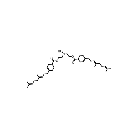 CC(C)=CCC/C(C)=C/CCC1=CCC(C(=O)OCCN(CCOC(=O)C2CC=C(CC/C=C(\C)CCC=C(C)C)CC2)C(C)(C)C)CC1